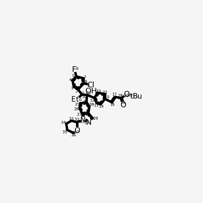 CCC(c1ccc(F)cc1Cl)C(O)(c1ccc(/C=C/C(=O)OC(C)(C)C)cc1)c1ccc2c(cnn2C2CCCCO2)c1